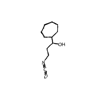 O=C=NCCC(O)C1CCCCCC1